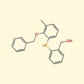 Cc1cccc(Pc2ccccc2CO)c1OCc1ccccc1